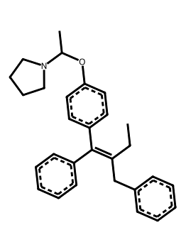 CCC(Cc1ccccc1)=C(c1ccccc1)c1ccc(OC(C)N2CCCC2)cc1